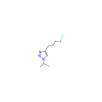 CC(C)n1cc(CCCCF)nn1